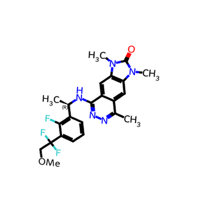 COCC(F)(F)c1cccc([C@@H](C)Nc2nnc(C)c3cc4c(cc23)n(C)c(=O)n4C)c1F